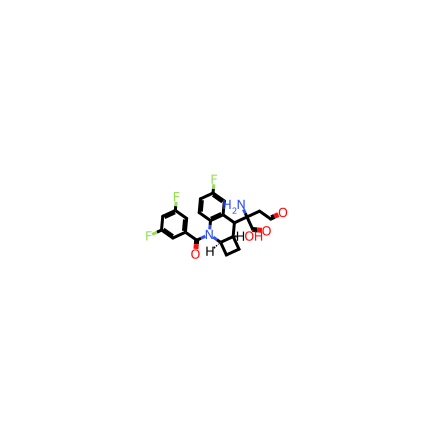 NC(CC=O)(C(=O)O)C1c2cc(F)ccc2N(C(=O)c2cc(F)cc(F)c2)[C@@H]2CC[C@H]12